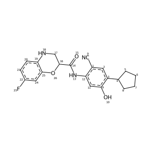 N#Cc1cc(C2CCCC2)c(O)cc1NC(=O)C1CNc2ccc(F)cc2O1